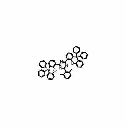 Cc1cccc(C)c1-c1nc(-c2cccc3c2Oc2ccccc2C3(c2ccccc2)c2ccccc2)nc(-c2cccc3c2Oc2ccccc2[Si]3(c2ccccc2)c2ccccc2)n1